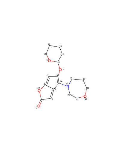 O=C1C=C2C(=CC(OC3CCCCO3)=C2N2CCCOCC2)O1